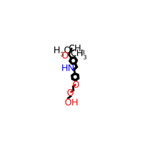 CC(C)(C)C(=O)c1ccc2cc(-c3ccc(OCCOCCO)cc3)[nH]c2c1